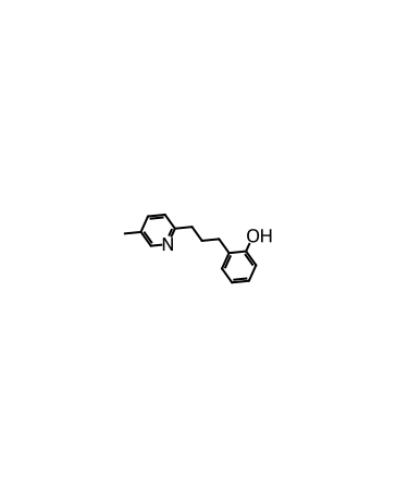 Cc1ccc(CCCc2ccccc2O)nc1